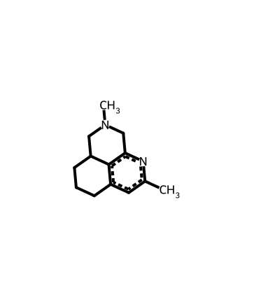 Cc1cc2c3c(n1)CN(C)CC3CCC2